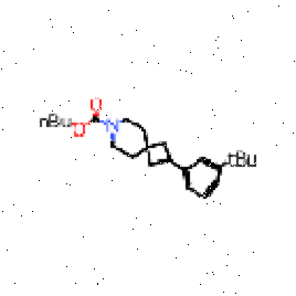 CCCCOC(=O)N1CCC2(CC1)CC(c1cccc(C(C)(C)C)c1)C2